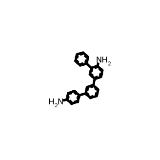 Nc1ccc(-c2cccc(-c3ccc(N)c(-c4ccccc4)c3)c2)cc1